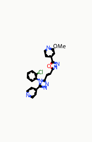 COc1cc(-c2nnc(C=Cc3nnc(-c4ccncc4)n3-c3ccccc3Cl)o2)ccn1